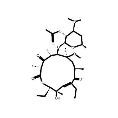 CC/C1=C\[C@](C)(O)[C@@H](CC)OC(=O)[C@H](C)C(=O)[C@H](C)[C@@H](O[C@@H]2O[C@H](C)C[C@H](N(C)C)[C@H]2OC(C)=O)[C@@](C)(OC)C[C@@H](C)C1=O